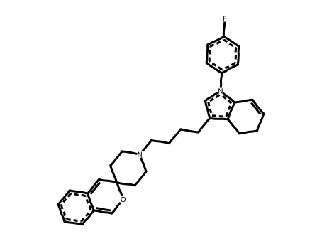 Fc1ccc(-n2cc(CCCCN3CCC4(C=c5ccccc5=CO4)CC3)c3c2C=CCC3)cc1